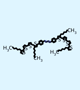 CCCCCCc1ccsc1-c1ccc(-c2ccc(-c3sc(-c4ccc(/C=C/C=C/c5ccc(-c6cc(CCCCCC)c(-c7ccc(-c8ccc(-c9sccc9CCCCCC)s8)s7)s6)cc5)cc4)cc3CCCCCC)s2)s1